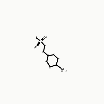 CS(=O)(=O)CCC1CCC(N)CC1